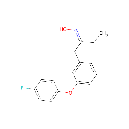 CC/C(Cc1cccc(Oc2ccc(F)cc2)c1)=N/O